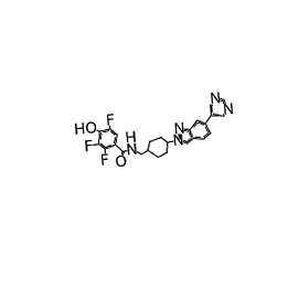 O=C(NCC1CCC(n2cc3ccc(-c4cncnc4)cc3n2)CC1)c1cc(F)c(O)c(F)c1F